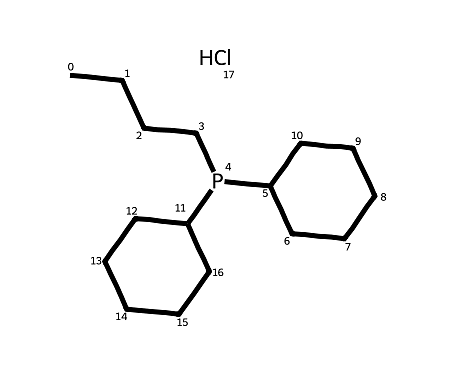 CCCCP(C1CCCCC1)C1CCCCC1.Cl